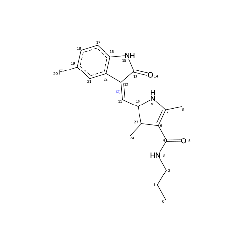 CCCNC(=O)C1=C(C)NC(/C=C2\C(=O)Nc3ccc(F)cc32)C1C